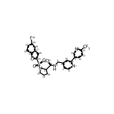 O=C(NCc1ccnc(-c2ccc(C(F)(F)F)nc2)c1)C1CCCN1S(=O)(=O)c1cc2cc(F)ccc2o1